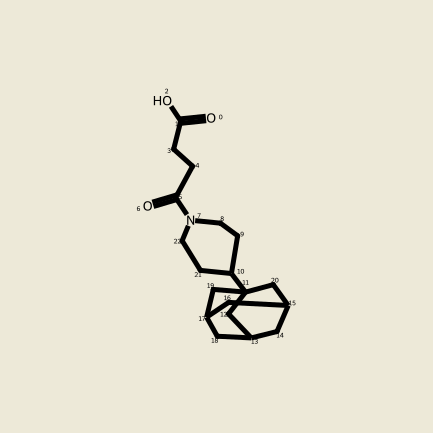 O=C(O)CCC(=O)N1CCC(C23CC4CC(CC(C4)C2)C3)CC1